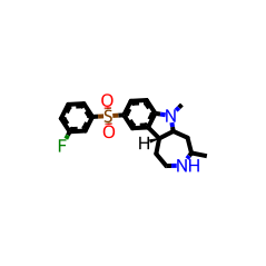 CC1CC2[C@H](CCN1)c1cc(S(=O)(=O)c3cccc(F)c3)ccc1N2C